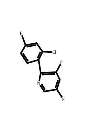 Fc1[c]c(Cl)c(-c2ncc(F)cc2F)cc1